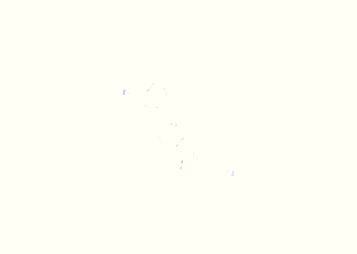 O=C1c2ccc(-c3ccc4c(n3)NCCCC4)cc2CN1C1CCCNC1